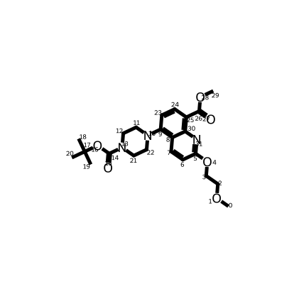 COCCOc1ccc2c(N3CCN(C(=O)OC(C)(C)C)CC3)ccc(C(=O)OC)c2n1